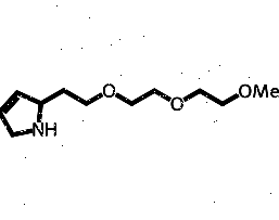 COCCOCCOCCC1C=CCN1